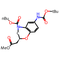 CCCCOC(=O)N1C[C@H](CC(=O)OC)Oc2ccc(NC(=O)OC(C)(C)C)cc21